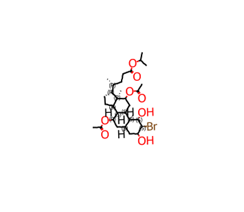 CC(=O)OC1C[C@H]2[C@@H]([C@H](OC(C)=O)C[C@@H]3CC(O)[C@H](Br)[C@@H](O)[C@@]32C)[C@@H]2CC[C@H]([C@H](C)CCC(=O)OC(C)C)[C@@]12C